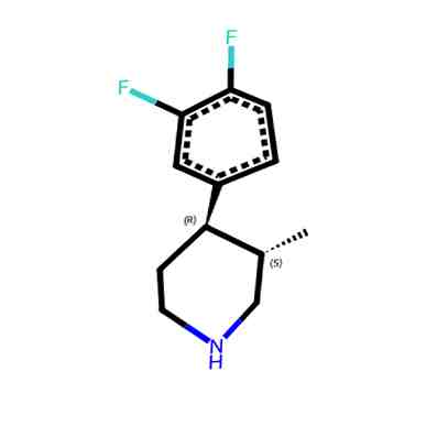 C[C@@H]1CNCC[C@H]1c1ccc(F)c(F)c1